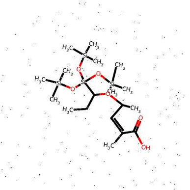 CCC(OC(C)C=C(C)C(=O)O)[Si](O[Si](C)(C)C)(O[Si](C)(C)C)O[Si](C)(C)C